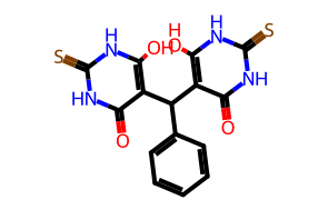 O=c1[nH]c(=S)[nH]c(O)c1C(c1ccccc1)c1c(O)[nH]c(=S)[nH]c1=O